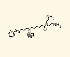 Cl.Cl.NCCN(CCN)C(=O)CCCCCNCCCSSc1ccccn1